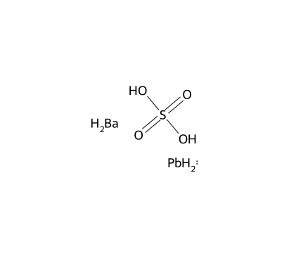 O=S(=O)(O)O.[BaH2].[PbH2]